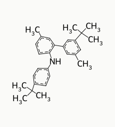 Cc1cc(-c2cc(C)ccc2Nc2ccc(C(C)(C)C)cc2)cc(C(C)(C)C)c1